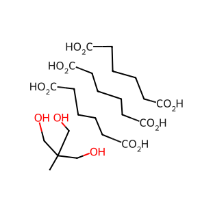 CC(CO)(CO)CO.O=C(O)CCCCC(=O)O.O=C(O)CCCCC(=O)O.O=C(O)CCCCC(=O)O